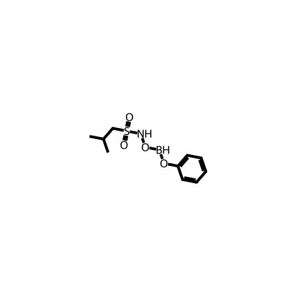 CC(C)CS(=O)(=O)NOBOc1ccccc1